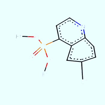 CCOP(=O)(OCC)c1ccnc2ccc(C(F)(F)F)cc12